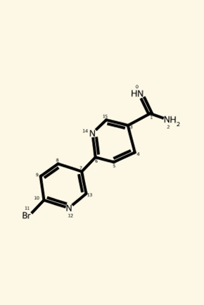 N=C(N)c1ccc(-c2ccc(Br)nc2)nc1